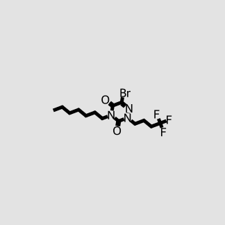 CCCCCCCn1c(=O)c(Br)nn(CCCC(F)(F)F)c1=O